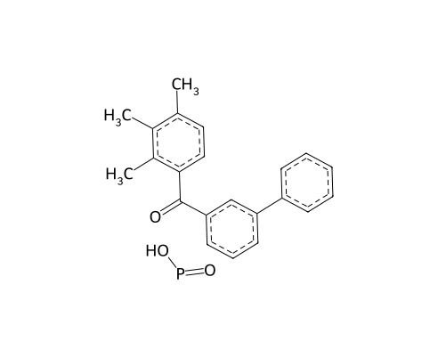 Cc1ccc(C(=O)c2cccc(-c3ccccc3)c2)c(C)c1C.O=PO